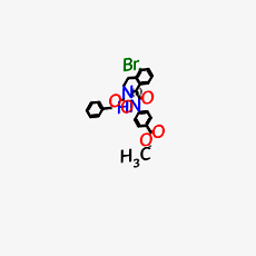 CCOC(=O)c1ccc(NC(=O)[C@@H]2c3cccc(Br)c3CCN2C(=O)OCc2ccccc2)cc1